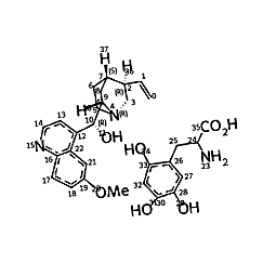 C=C[C@H]1C[N@]2CC[C@H]1C[C@H]2[C@H](O)c1ccnc2ccc(OC)cc12.NC(Cc1cc(O)c(O)cc1O)C(=O)O